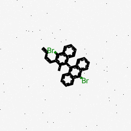 C=C/C=C\c1c(C)c(-c2c3ccccc3c(Br)c3ccccc23)c2ccccc2c1Br